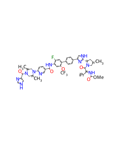 COC(=O)N[C@H](C(=O)N1C[C@@H](C)C[C@H]1c1nc(-c2ccc(-c3cc(F)c(NC(=O)c4ccc(N5C[C@H](C)N(C(=O)c6c[nH]cn6)C[C@H]5C)nc4)cc3OC(F)(F)F)cc2)c[nH]1)C(C)C